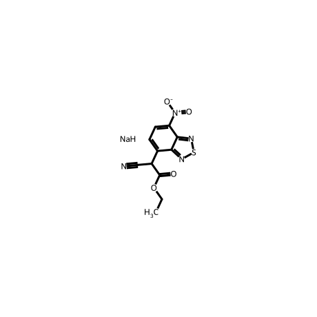 CCOC(=O)C(C#N)c1ccc([N+](=O)[O-])c2nsnc12.[NaH]